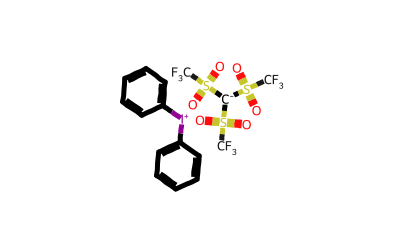 O=S(=O)([C-](S(=O)(=O)C(F)(F)F)S(=O)(=O)C(F)(F)F)C(F)(F)F.c1ccc([I+]c2ccccc2)cc1